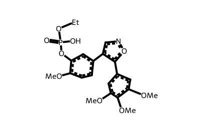 CCOP(=O)(O)Oc1cc(-c2cnoc2-c2cc(OC)c(OC)c(OC)c2)ccc1OC